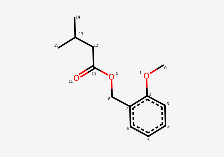 COc1ccccc1COC(=O)CC(C)C